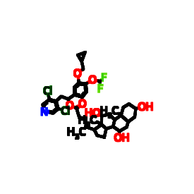 CC(CCC(=O)OC(Cc1c(Cl)cncc1Cl)c1ccc(OC(F)F)c(OCC2CC2)c1)C1CCC2C3C(O)CC4CC(O)CCC4(C)C3CC(O)C12C